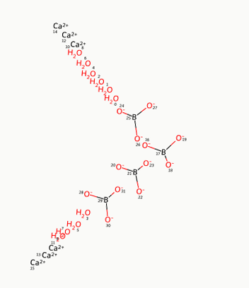 O.O.O.O.O.O.O.O.O.O.[Ca+2].[Ca+2].[Ca+2].[Ca+2].[Ca+2].[Ca+2].[O-]B([O-])[O-].[O-]B([O-])[O-].[O-]B([O-])[O-].[O-]B([O-])[O-]